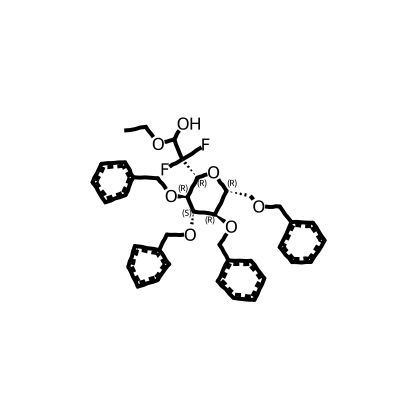 CCOC(O)C(F)(F)[C@@H]1O[C@H](COCc2ccccc2)[C@@H](OCc2ccccc2)[C@H](OCc2ccccc2)[C@H]1OCc1ccccc1